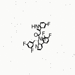 O=C(Cc1c[nH]c2ccc(F)cc12)N[C@@H](Cc1cc(F)cc(F)c1)c1ncccc1-c1ccc(F)c(F)c1